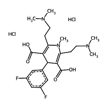 CN(C)CCC1=C(C(=O)O)C(c2cc(F)cc(F)c2)C(C(=O)O)=C(CCN(C)C)N1C.Cl.Cl